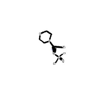 O=P(Cl)(Cl)/N=C(\Cl)N1CCOCC1